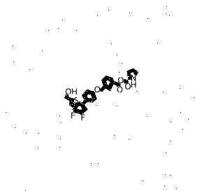 O=C(OC(=O)[C@@H]1CCCN1)c1cccc(COc2ccc(-c3cc(F)c(F)c4cc(CO)sc34)cc2)c1